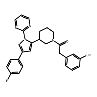 N#Cc1cccc(CC(=O)N2CCCC(c3cc(-c4ccc(F)cc4)nn3-c3ncccn3)C2)c1